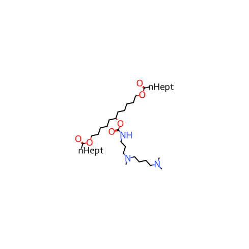 CCCCCCCC(=O)OCCCCCC(CCCCCOC(=O)CCCCCCC)OC(=O)NCCCN(C)CCCCN(C)C